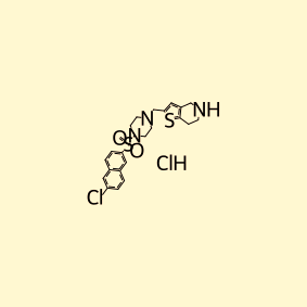 Cl.O=S(=O)(c1ccc2cc(Cl)ccc2c1)N1CCN(Cc2cc3c(s2)CCNC3)CC1